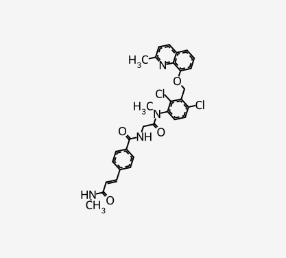 CNC(=O)C=Cc1ccc(C(=O)NCC(=O)N(C)c2ccc(Cl)c(COc3cccc4ccc(C)nc34)c2Cl)cc1